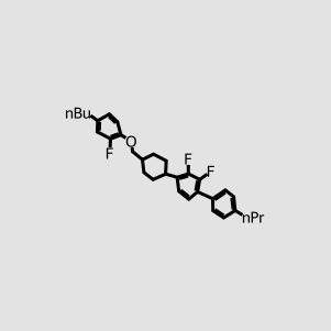 CCCCc1ccc(OCC2CCC(c3ccc(-c4ccc(CCC)cc4)c(F)c3F)CC2)c(F)c1